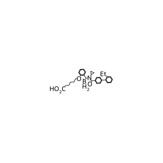 BC(c1ccccc1OCCCCCC(=O)O)N(C(=O)c1ccc(-c2ccccc2CC)cc1)C1CC1